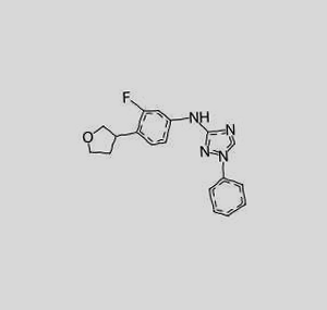 Fc1cc(Nc2ncn(-c3ccccc3)n2)ccc1C1CCOC1